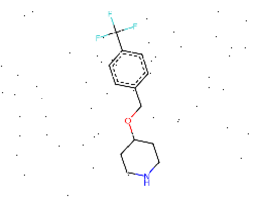 FC(F)(F)c1ccc(COC2CCNCC2)cc1